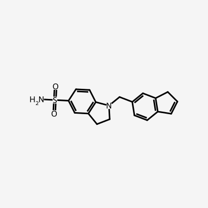 NS(=O)(=O)c1ccc2c(c1)CCN2Cc1ccc2c(c1)CC=C2